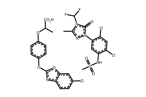 CC(Oc1ccc(Oc2nc3ccc(Cl)cc3o2)cc1)C(=O)O.Cc1nn(-c2cc(NS(C)(=O)=O)c(Cl)cc2Cl)c(=O)n1C(F)F